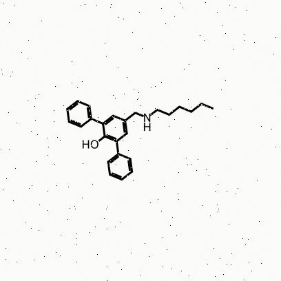 CCCCCCNCc1cc(-c2ccccc2)c(O)c(-c2ccccc2)c1